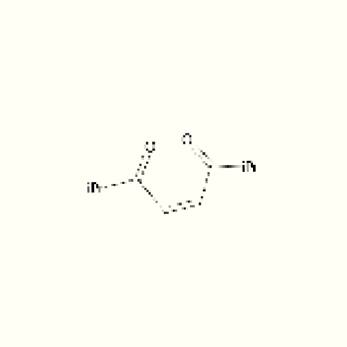 CC(C)C(=O)/C=C\C(=O)C(C)C